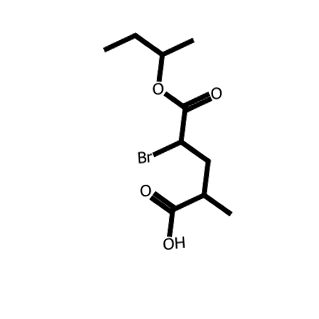 CCC(C)OC(=O)C(Br)CC(C)C(=O)O